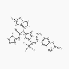 Cc1c(-c2ccc(CN(C)C)cc2)cc(C(F)(F)F)c2cn(C(C(=O)Nc3nccs3)c3ncn4c3C[C@@H](F)C4)nc12